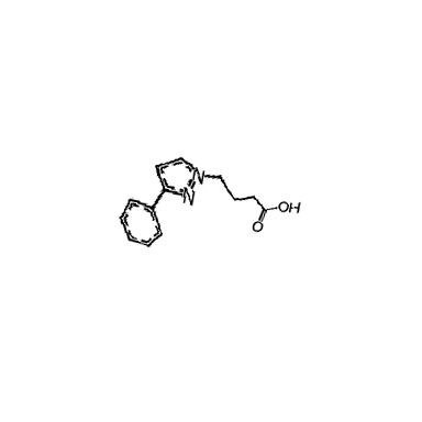 O=C(O)CCCn1ccc(-c2ccccc2)n1